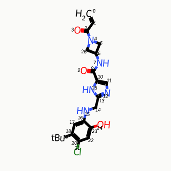 C=CC(=O)N1CC(NC(=O)c2cnc(CNc3cc(C(C)(C)C)c(Cl)cc3O)[nH]2)C1